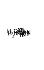 Cc1cc(C(F)(F)F)c(-c2cc3ncnc4c3c(c2Cl)OCCN4Cc2ccns2)nc1N